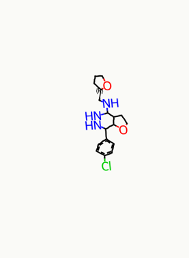 Clc1ccc(C2NNC(NC[C@H]3CCCO3)C3CCOC23)cc1